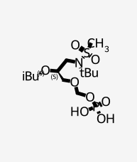 CC[C@H](C)O[C@H](COCOP(=O)(O)O)CN(C(C)(C)C)S(C)(=O)=O